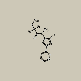 [2H]C([2H])(CSC)C(=O)N(C)c1cn(-c2cccnc2)nc1Cl